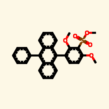 COc1ccc(-c2c3ccccc3c(-c3ccccc3)c3ccccc23)c(OC)c1S(=O)(=O)OC